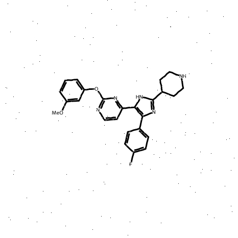 COc1cccc(Oc2nccc(-c3[nH]c(C4CCNCC4)nc3-c3ccc(F)cc3)n2)c1